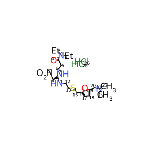 CCN(CC)C(=O)CCNC(=C[N+](=O)[O-])NCCSCc1ccc(CN(C)C)o1.Cl.Cl